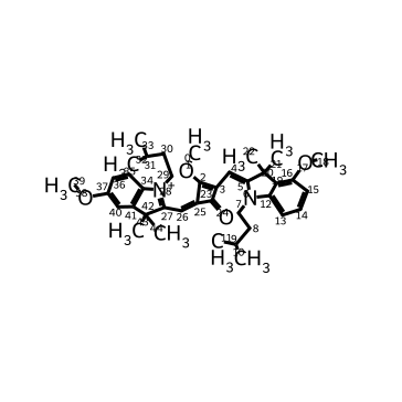 COC1=C(/C=C2\N(CCC(C)C)c3cccc(OC)c3C2(C)C)C(=O)/C1=C/C1=[N+](CCC(C)C)c2ccc(OC)cc2C1(C)C